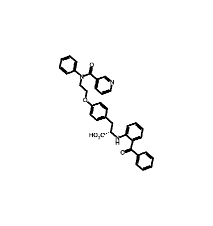 O=C(c1ccccc1)c1ccccc1N[C@@H](Cc1ccc(OCCN(C(=O)c2cccnc2)c2ccccc2)cc1)C(=O)O